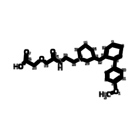 COc1ccc(-c2ccccc2CC2CCCN(CCNC(=O)COCC(=O)O)C2)cc1